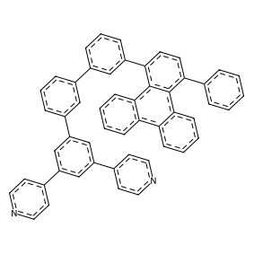 c1ccc(-c2ccc(-c3cccc(-c4cccc(-c5cc(-c6ccncc6)cc(-c6ccncc6)c5)c4)c3)c3c4ccccc4c4ccccc4c23)cc1